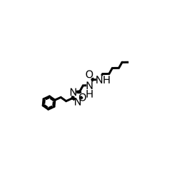 CCCCCCNC(=O)NCc1nc(CCc2ccccc2)no1